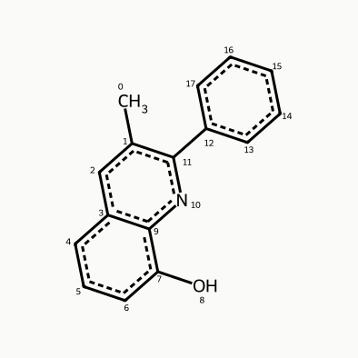 Cc1cc2cccc(O)c2nc1-c1ccccc1